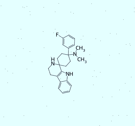 CN(C)C1(c2cccc(F)c2)CCC2(CC1)NCCc1c2[nH]c2ccccc12